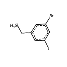 [SiH3]Cc1cc(Br)cc(I)c1